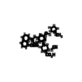 COc1cccc2cccc(N3CCc4c(nc(OC[C@@H]5CCCN5C)nc4N4CCN(C(=O)O)[C@@H](CC#N)C4)C3)c12